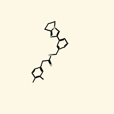 Cc1ccc(CC(=O)NCc2cccc(-c3cn4c(n3)CCC4)c2)cc1C